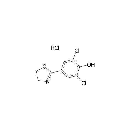 Cl.Oc1c(Cl)cc(C2=NCCO2)cc1Cl